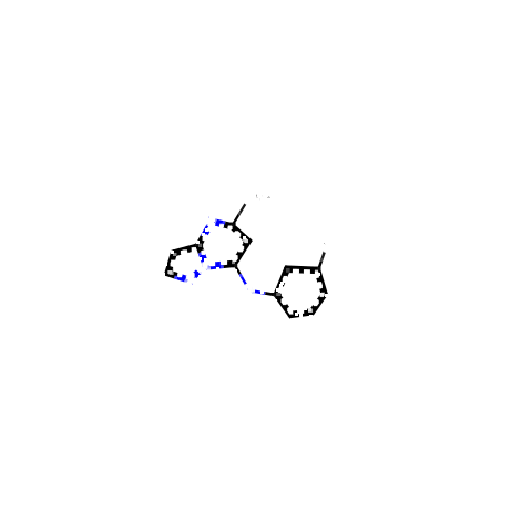 COc1cc(Nc2cccc([N+](=O)[O-])c2)n2nccc2n1